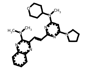 CN(C)c1nc2ccccc2nc1C=Cc1nc(N2CCCC2)cc(N(C)C2CCOCC2)n1